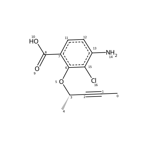 CC#C[C@H](C)Oc1c(C(=O)O)ccc(N)c1Cl